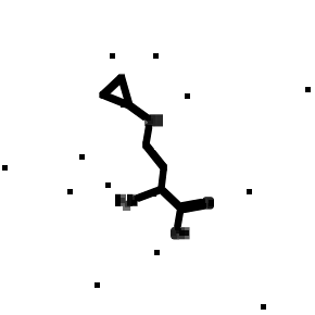 NC(CCNC1CC1)C(=O)O